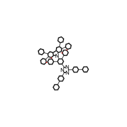 c1ccc(-c2ccc(-c3nc(-c4ccc(-c5ccccc5)cc4)nc(-c4cc(-c5ccccc5)c(-n5c6cc(-c7ccccc7)c(-c7ccccc7)cc6c6cc(-c7ccccc7)c(-c7ccccc7)cc65)c(-c5ccccc5)c4)n3)cc2)cc1